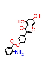 Nc1ccccc1C(=O)Oc1ccc(-c2coc3cc(O)cc(O)c3c2=O)cc1